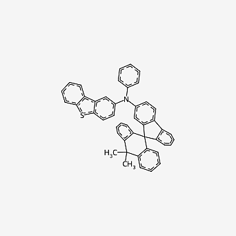 CC1(C)c2ccccc2C2(c3ccccc3-c3ccc(N(c4ccccc4)c4ccc5sc6ccccc6c5c4)cc32)c2ccccc21